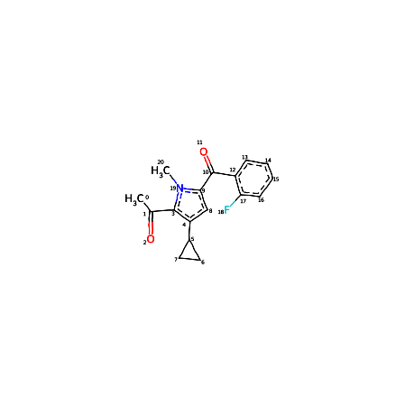 CC(=O)c1c(C2CC2)cc(C(=O)c2ccccc2F)n1C